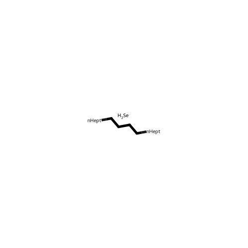 CCCCCCCCCCCCCCCCCC.[SeH2]